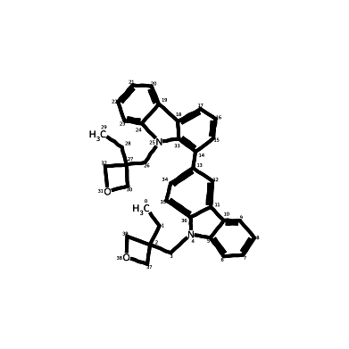 CCC1(Cn2c3ccccc3c3cc(-c4cccc5c6ccccc6n(CC6(CC)COC6)c45)ccc32)COC1